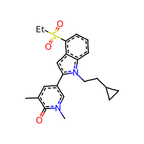 CCS(=O)(=O)c1cccc2c1cc(-c1cc(C)c(=O)n(C)c1)n2CCC1CC1